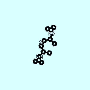 c1ccc(-c2cc(-c3ccc4sc5ccc(-c6cc(-c7ccccc7)cc(-c7cnc8c9ccccc9c9ccccc9c8n7)c6)cc5c4c3)cc(-c3cnc4c5ccccc5c5ccccc5c4n3)c2)cc1